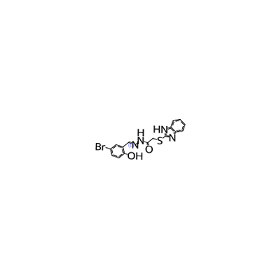 O=C(CSc1nc2ccccc2[nH]1)N/N=C/c1cc(Br)ccc1O